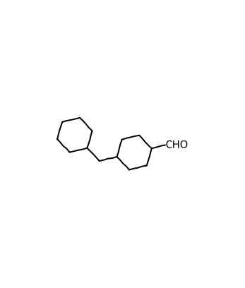 O=CC1CCC(CC2CCCCC2)CC1